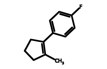 CC1=C(c2ccc(F)cc2)CCC1